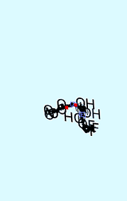 O=C(CCC/C=C\C[C@@H]1[C@@H](/C=C/[C@@H](O)COc2cccc(C(F)(F)F)c2)[C@H](O)C[C@@H]1O)OCCCO[N+](=O)[O-]